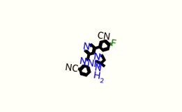 CC1(N)CCN(c2c(-c3ccc(F)c(C#N)c3)cncc2-c2nc3c(C#N)cccc3[nH]2)C1